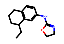 CCC1CCCc2ccc(NC3=NCCO3)cc21